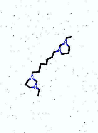 CCN1CCCN(CCCCCCCN2CCCN(CC)C2)C1